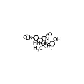 CC(C)C(=N)c1c(-c2ccc(N3CCOCC3)cc2)cc(C=O)nc1NC1CCCC(O)C1